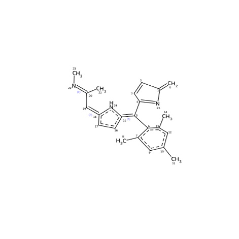 C=C1C=CC(/C(c2c(C)cc(C)cc2C)=c2/cc/c(=C/C(C)=N/C)[nH]2)=N1